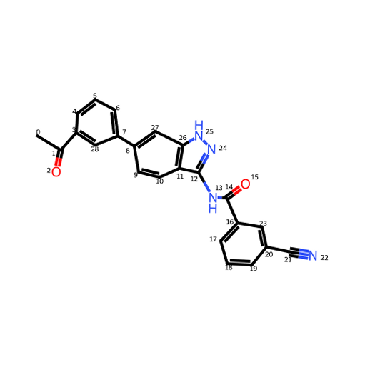 CC(=O)c1cccc(-c2ccc3c(NC(=O)c4cccc(C#N)c4)n[nH]c3c2)c1